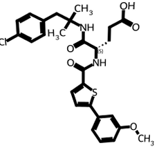 COc1cccc(-c2ccc(C(=O)N[C@@H](CCC(=O)O)C(=O)NC(C)(C)Cc3ccc(Cl)cc3)s2)c1